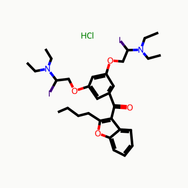 CCCCc1oc2ccccc2c1C(=O)c1cc(OCC(I)N(CC)CC)cc(OCC(I)N(CC)CC)c1.Cl